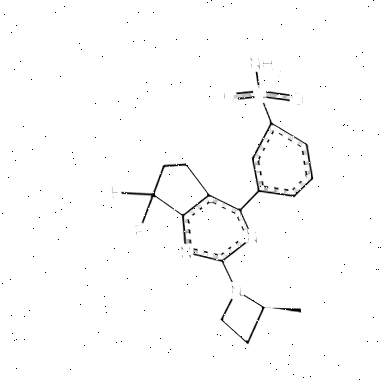 C[C@H]1CCN1c1nc(-c2cccc(S(N)(=O)=O)c2)c2c(n1)C(F)(F)CC2